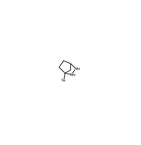 [2H]C12CCC(C1)NN2